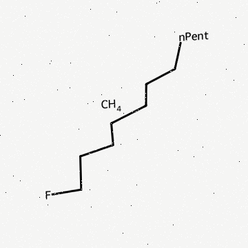 C.CCCCCCCCCCCCF